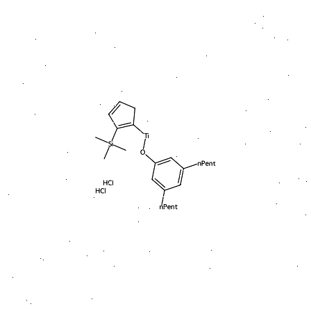 CCCCCc1cc(CCCCC)cc([O][Ti][C]2=C([Si](C)(C)C)C=CC2)c1.Cl.Cl